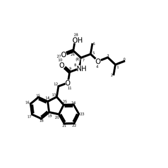 CC(C)COC(C)[C@@H](NC(=O)OCC1c2ccccc2-c2ccccc21)C(=O)O